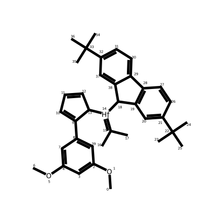 COc1cc(OC)cc(C2=CC=C[CH]2[Hf](=[C](C)C)[CH]2c3cc(C(C)(C)C)ccc3-c3ccc(C(C)(C)C)cc32)c1